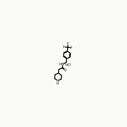 Cl.O=C(CC1CCNCC1)NCc1ccc(C(F)(F)F)cc1